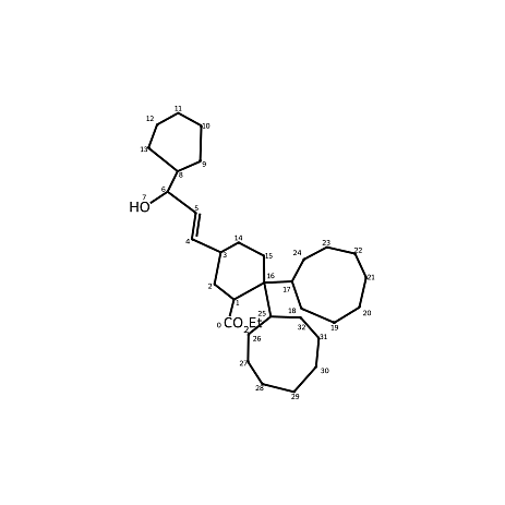 CCOC(=O)C1CC(C=CC(O)C2CCCCC2)CCC1(C1CCCCCCC1)C1CCCCCCC1